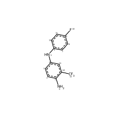 Nc1ccc(Nc2ccc(F)cc2)cc1C(F)(F)F